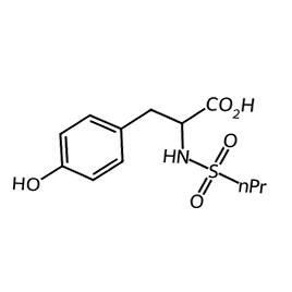 CCCS(=O)(=O)NC(Cc1ccc(O)cc1)C(=O)O